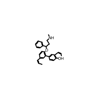 C/C=C\c1ccc(OC(CCNC)c2ccccc2)c(-c2ccc(O)c(/C=C\C)c2)c1